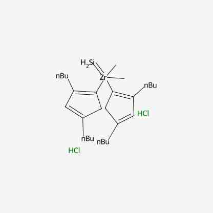 CCCCC1=CC(CCCC)=[C]([Zr]([CH3])([CH3])(=[SiH2])[C]2=C(CCCC)C=C(CCCC)C2)C1.Cl.Cl